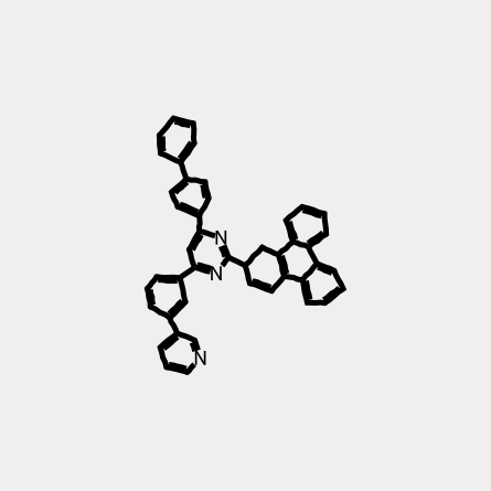 C1=CC(c2nc(-c3ccc(-c4ccccc4)cc3)cc(-c3cccc(-c4cccnc4)c3)n2)Cc2c1c1ccccc1c1ccccc21